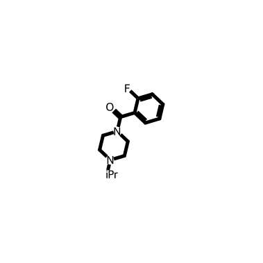 CC(C)N1CCN(C(=O)c2ccccc2F)CC1